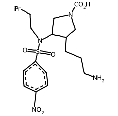 CC(C)CCN(C1CN(C(=O)O)CC1CCCN)S(=O)(=O)c1ccc([N+](=O)[O-])cc1